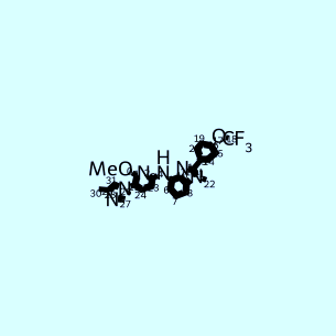 COc1nc(Nc2cccc3c2nc(-c2ccc(OC(F)(F)F)cc2)n3C)ccc1-n1cnc(C)c1